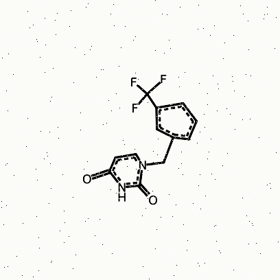 O=c1ccn(Cc2cccc(C(F)(F)F)c2)c(=O)[nH]1